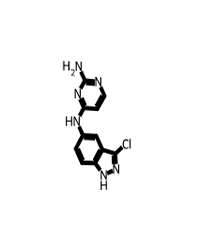 Nc1nccc(Nc2ccc3[nH]nc(Cl)c3c2)n1